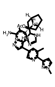 CC(=O)c1c([C@@H]2C[C@H]3CC[C@@H](C2)N3C(=O)C2NC=NN2)nc2c(-c3cnc(-c4ccn(C)n4)c(C)c3)cnn2c1N